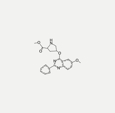 COC(=O)C1CC(Oc2nc(-c3ccccc3)nc3ccc(OC)cc23)CN1